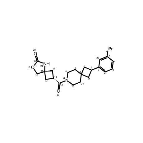 CC(C)c1cccc(C2CC3(CCN(C(=O)[C@H]4C[C@]5(COC(=O)N5)C4)CC3)C2)c1